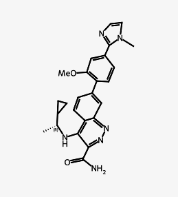 COc1cc(-c2nccn2C)ccc1-c1ccc2c(N[C@H](C)C3CC3)c(C(N)=O)nnc2c1